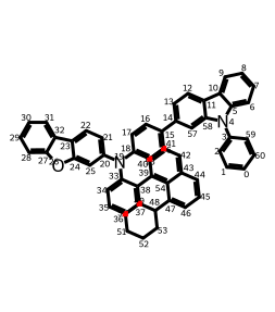 c1ccc(-n2c3ccccc3c3ccc(-c4ccc(N(c5ccc6c(c5)oc5ccccc56)c5ccccc5-c5cccc6cccc(C7CCCCC7)c56)cc4)cc32)cc1